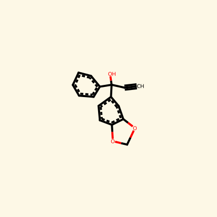 C#CC(O)(c1ccccc1)c1ccc2c(c1)OCO2